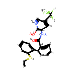 CCSc1ccccc1-c1ccccc1C(=O)Nc1cc(C(F)(F)F)cnc1O